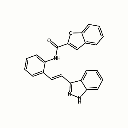 O=C(Nc1ccccc1C=Cc1n[nH]c2ccccc12)c1cc2ccccc2o1